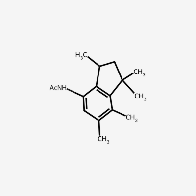 CC(=O)Nc1cc(C)c(C)c2c1C(C)CC2(C)C